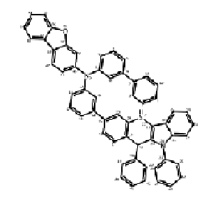 c1ccc(-c2cccc(N(c3cccc(-c4ccc5c(c4)[SiH2]c4c(n(-c6ccccc6)c6ccccc46)C5c4ccccc4)c3)c3ccc4c(c3)oc3ccccc34)c2)cc1